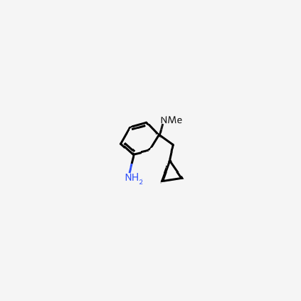 CNC1(CC2CC2)C=CC=C(N)C1